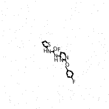 O=C(Nc1cccs1)Nc1nc(OCc2ccc(F)cc2)ncc1F